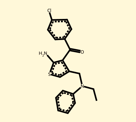 CCN(Cc1csc(N)c1C(=O)c1ccc(Cl)cc1)c1ccccc1